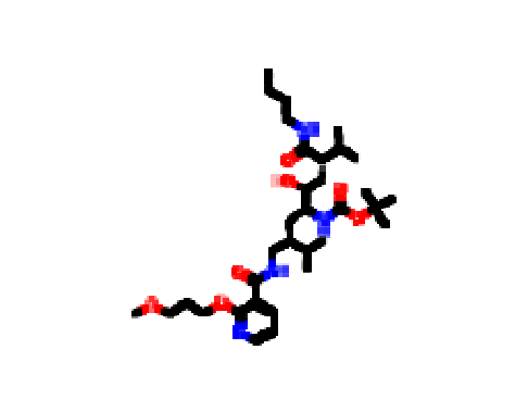 CCCCNC(=O)[C@@H](C[C@H](O)[C@H](C[C@H](CNC(=O)c1cccnc1OCCCOC)C(C)C)NC(=O)OC(C)(C)C)C(C)C